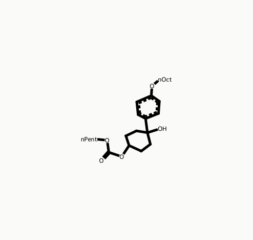 CCCCCCCCOc1ccc(C2(O)CCC(OC(=O)OCCCCC)CC2)cc1